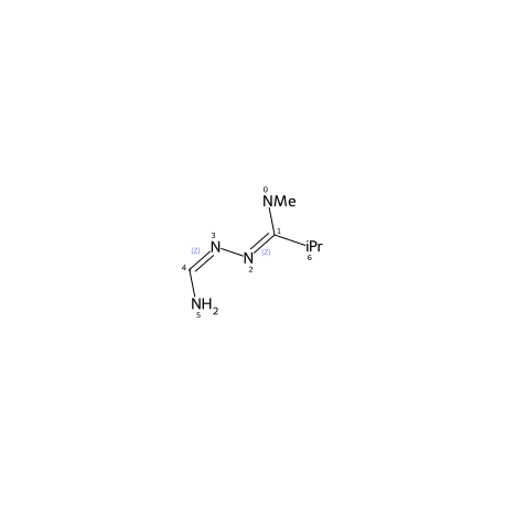 CN/C(=N\N=C/N)C(C)C